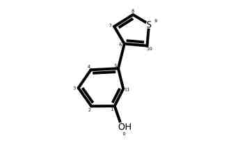 Oc1cccc(-c2ccsc2)c1